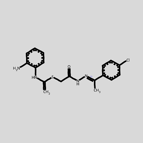 C=C(Nc1ccccc1N)SCC(=O)N/N=C(\C)c1ccc(Cl)cc1